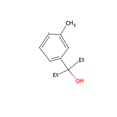 CCC(O)(CC)c1cc[c]c(C)c1